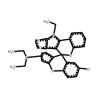 CCN(CC)c1ccc2c(c1)Oc1ccc(Cl)cc1C21Oc2ccccc2-c2c1c1ccccc1n2CC